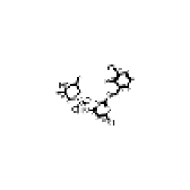 CC1CN(S(=O)(=O)Nc2cc(Cl)nc(SCc3cccc(Cl)c3F)n2)CC(C)N1